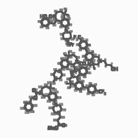 CC1(C)CN(CCCO)Cc2cc(-c3ccc(C(F)(F)F)cc3)ccc21.CCCN1CC(C)(C)c2ccc(-c3ccc(C(F)(F)F)cc3)cc2C1c1ccccc1CC1c2cc(N3CCN(C)CC3)ccc2C(C)(C)CCN1C(=O)O.CCCN1CCN(c2ccc3c(c2)C(Cc2ccccc2)N(C(=O)O)CCC3(C)C)CC1.COC(=O)CCN1CCN(c2ccc3c(c2)CN(C(=O)OCc2ccccc2)CCC3(C)C)CC1